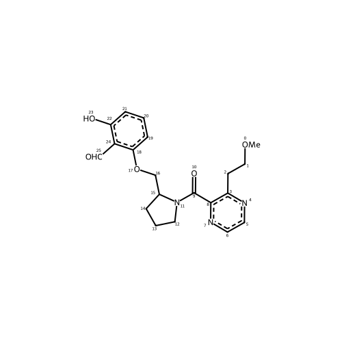 COCCc1nccnc1C(=O)N1CCCC1COc1cccc(O)c1C=O